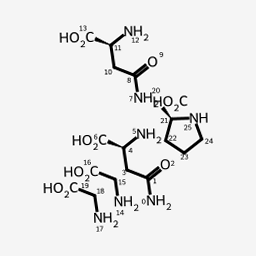 NC(=O)C[C@H](N)C(=O)O.NC(=O)C[C@H](N)C(=O)O.NCC(=O)O.NCC(=O)O.O=C(O)[C@@H]1CCCN1